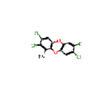 N#Cc1c(Cl)c(Cl)cc2c1Oc1cc(Cl)c(Cl)cc1O2